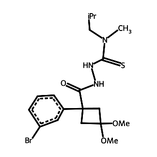 COC1(OC)CC(C(=O)NNC(=S)N(C)CC(C)C)(c2cccc(Br)c2)C1